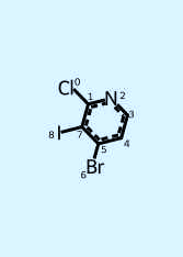 Clc1nccc(Br)c1I